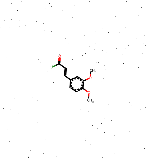 COc1ccc(C=CC(=O)Cl)cc1OC